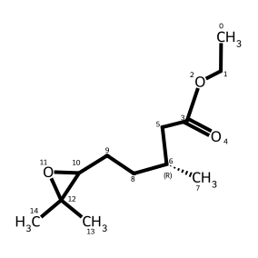 CCOC(=O)C[C@H](C)CCC1OC1(C)C